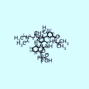 CCN(CC)CCN(C)c1nc(-c2cc(C(=O)NC(C)C)ccc2C)c2c(n1)N(c1c(F)cccc1F)C(=O)NC2.O=C(O)C(F)(F)F